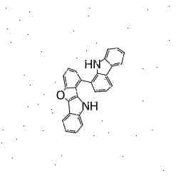 c1ccc2c(c1)[nH]c1c(-c3cccc4oc5c6ccccc6[nH]c5c34)cccc12